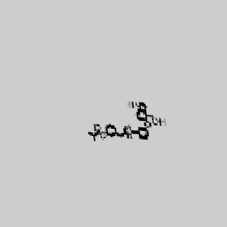 CC(C)C(=O)Oc1cccc(Cc2csc(-c3cccc(Oc4ccc5[nH]ccc5c4CO)c3)n2)c1